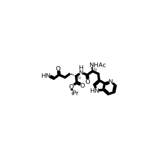 CC(=O)N[C@@H](Cc1c[nH]c2cccnc12)C(=O)N[C@@H](CCC(=O)C=N)C(=O)OC(C)C